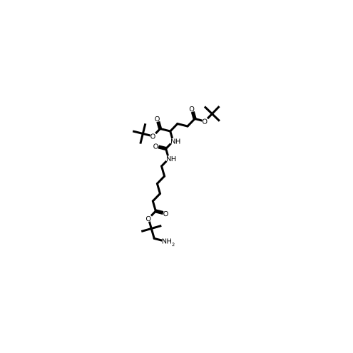 CC(C)(C)OC(=O)CCC(NC(=O)NCCCCCC(=O)OC(C)(C)CN)C(=O)OC(C)(C)C